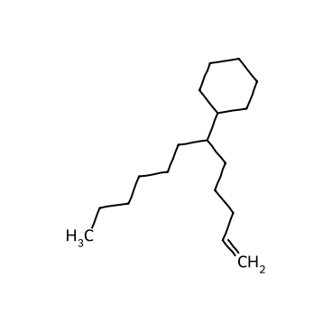 C=CCCCC(CCCCCC)C1CCCCC1